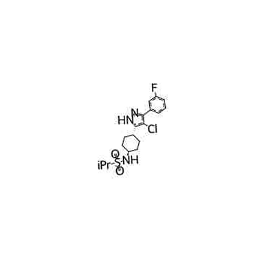 CC(C)S(=O)(=O)N[C@H]1CC[C@H](c2[nH]nc(-c3cccc(F)c3)c2Cl)CC1